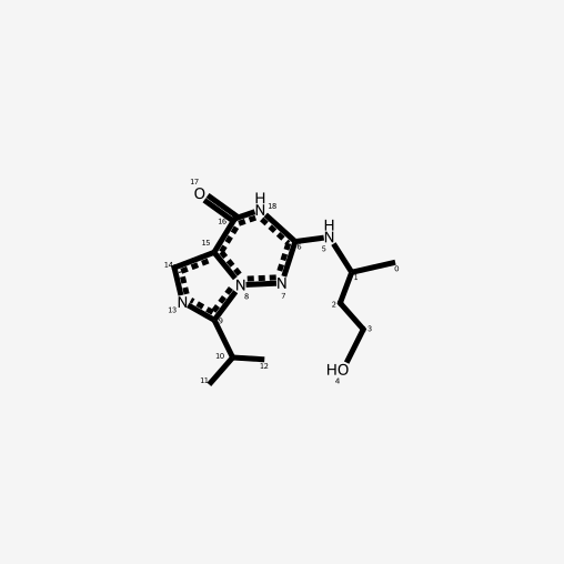 CC(CCO)Nc1nn2c(C(C)C)ncc2c(=O)[nH]1